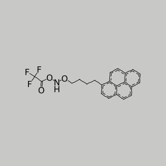 O=C(ONOCCCCc1ccc2ccc3cccc4ccc1c2c34)C(F)(F)F